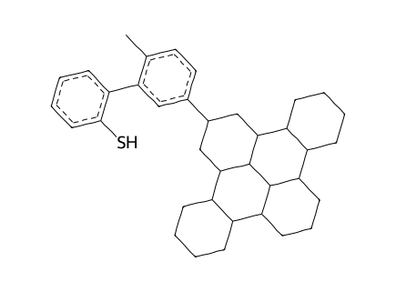 Cc1ccc(C2CC3C4CCCCC4C4CCCC5C6CCCCC6C(C2)C3C45)cc1-c1ccccc1S